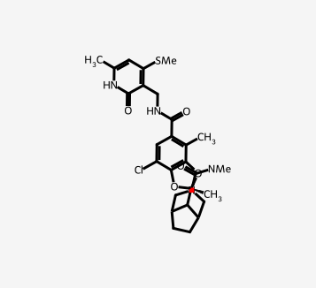 CNC(=O)N1CC2CCC(C1)C2[C@]1(C)Oc2c(Cl)cc(C(=O)NCc3c(SC)cc(C)[nH]c3=O)c(C)c2O1